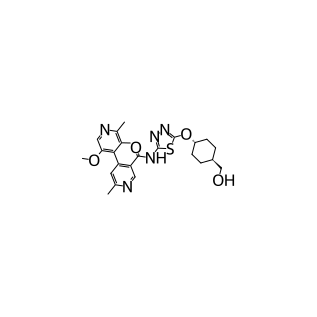 COc1cnc(C)c(C)c1-c1cc(C)ncc1C(=O)Nc1nnc(O[C@H]2CC[C@H](CO)CC2)s1